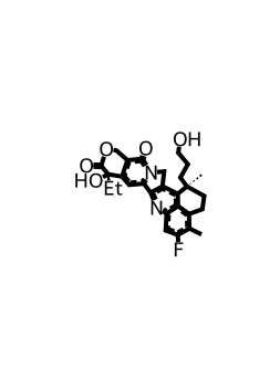 CC[C@@]1(O)C(=O)OCc2c1cc1n(c2=O)Cc2c-1nc1cc(F)c(C)c3c1c2[C@@](C)(CCCO)CC3